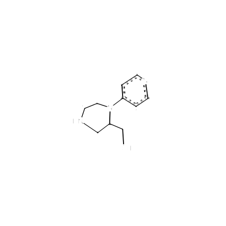 CCC1CNCCN1c1ccncc1